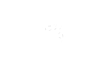 COc1c(-c2ccc3c(c2)OCO3)oc2cc3c(c(OC)c2c1=O)OCO3